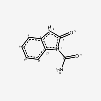 [NH]C(=O)n1c(=O)[nH]c2ccccc21